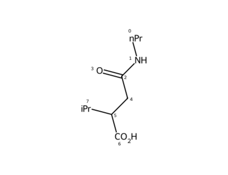 CCCNC(=O)CC(C(=O)O)C(C)C